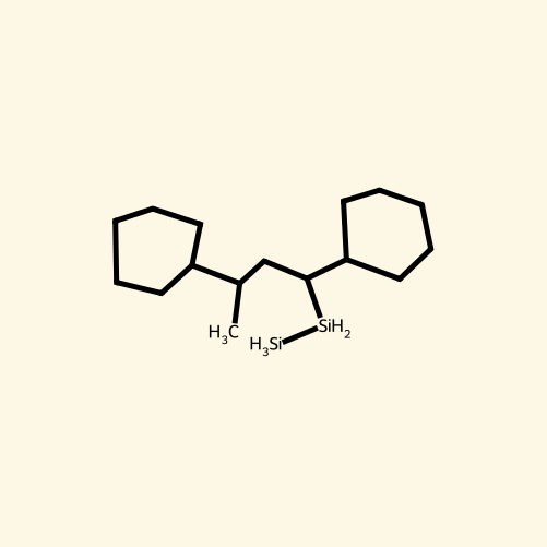 CC(CC([SiH2][SiH3])C1CCCCC1)C1CCCCC1